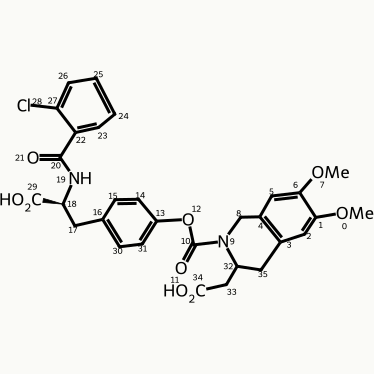 COc1cc2c(cc1OC)CN(C(=O)Oc1ccc(C[C@H](NC(=O)c3ccccc3Cl)C(=O)O)cc1)C(CC(=O)O)C2